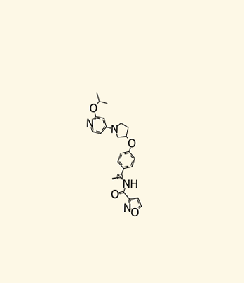 CC(C)Oc1cc(N2CCC(Oc3ccc([C@H](C)NC(=O)c4ccon4)cc3)C2)ccn1